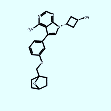 Nc1ncnc2c1c(-c1cccc(OCC34CCC(CC3)O4)c1)cn2[C@H]1C[C@H](O)C1